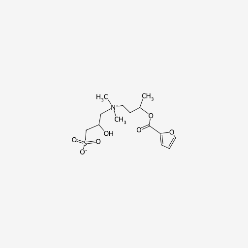 CC(CC[N+](C)(C)CC(O)CS(=O)(=O)[O-])OC(=O)c1ccco1